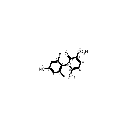 Cc1cc(C#N)cc(F)c1-n1c(C(F)(F)F)ccc(C(=O)O)c1=O